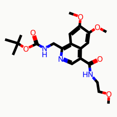 COCCNC(=O)c1cnc(CNC(=O)OC(C)(C)C)c2cc(OC)c(OC)cc12